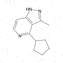 Cc1n[nH]c2ccnc(C3CCCC3)c12